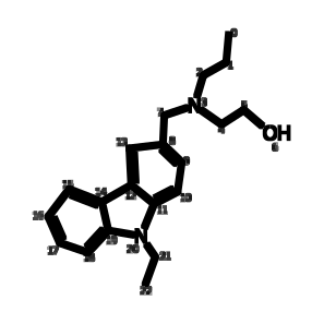 CCCN(CCO)Cc1ccc2c(c1)c1ccccc1n2CC